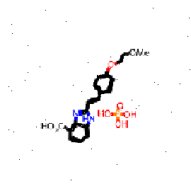 COCCOc1ccc(/C=C/c2nc3c(C(=O)O)cccc3[nH]2)cc1.O=P(O)(O)O